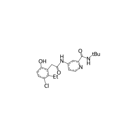 CCc1c(Cl)ccc(O)c1CC(=O)Nc1ccnc(C(=O)NC(C)(C)C)c1